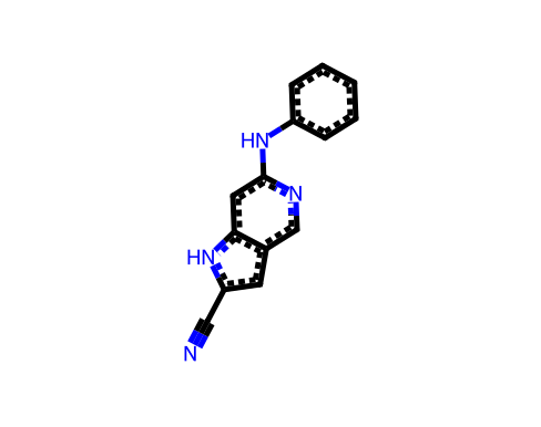 N#Cc1cc2cnc(Nc3ccccc3)cc2[nH]1